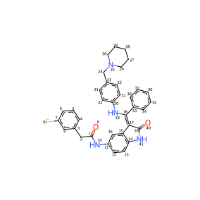 O=C(Cc1cccc(F)c1)Nc1ccc2c(c1)C(=C(Nc1ccc(CN3CCCCC3)cc1)c1ccccc1)C(=O)N2